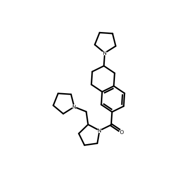 O=C(c1ccc2c(c1)CCC(N1CCCC1)C2)N1CCCC1CN1CCCC1